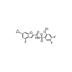 CCOc1cc(F)c(F)cc1S(=O)(=O)NC(=O)c1cc2c(F)cc(C3CC3)cc2o1